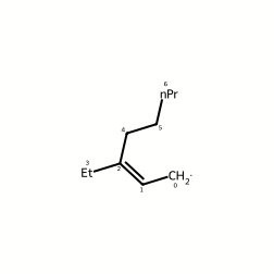 [CH2]C=C(CC)CCCCC